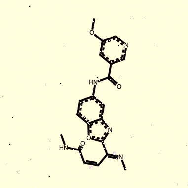 C/N=C(\C=C/C(=O)NC)c1nc2cc(NC(=O)c3cncc(OC)c3)ccc2o1